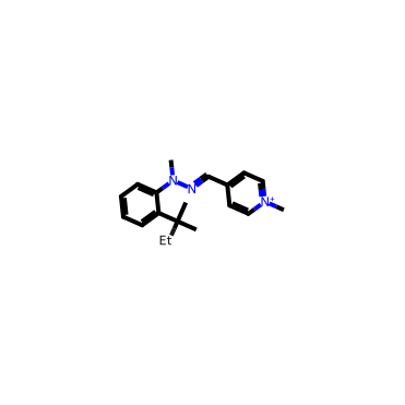 CCC(C)(C)c1ccccc1N(C)N=Cc1cc[n+](C)cc1